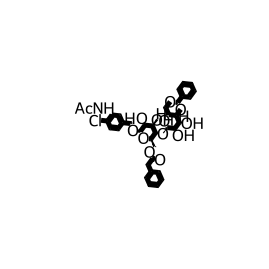 CC(=O)Nc1cc(CO[C@@H]2O[C@H](COC(=O)Cc3ccccc3)[C@@H](O[C@@H]3O[C@@H]4COC(c5ccccc5)O[C@H]4[C@H](O)[C@H]3O)[C@H](O)[C@H]2O)ccc1Cl